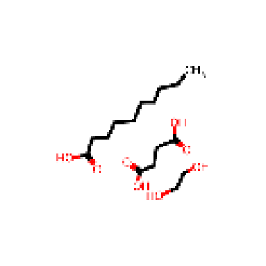 CCCCCCCCCC(=O)O.O=C(O)CCC(=O)O.OCCO